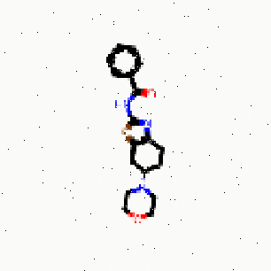 O=C(Nc1nc2c(s1)C[C@@H](N1CCOCC1)CC2)c1ccccc1